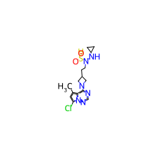 Cc1cc(Cl)n2ncnc(N3CC(CCN(NC4CC4)[SH](=O)=O)C3)c12